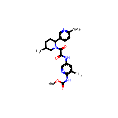 CNc1ccc(C2CCC(C)CN2C(=O)C(=O)Nc2cnc(NC(=O)OC(C)(C)C)c(C)c2)cn1